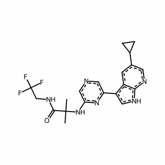 CC(C)(Nc1cncc(-c2c[nH]c3ncc(C4CC4)cc23)n1)C(=O)NCC(F)(F)F